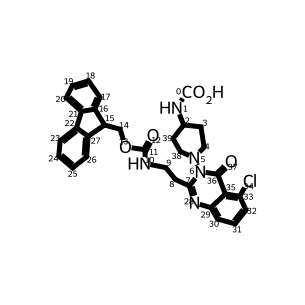 O=C(O)NC1CCN(n2c(CCNC(=O)OCC3c4ccccc4-c4ccccc43)nc3cccc(Cl)c3c2=O)CC1